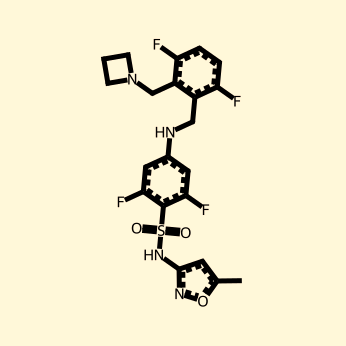 Cc1cc(NS(=O)(=O)c2c(F)cc(NCc3c(F)ccc(F)c3CN3CCC3)cc2F)no1